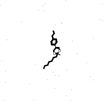 CCCCCCC[C@]1(C)OC[C@@H](c2ccc(CCC)cc2)CO1